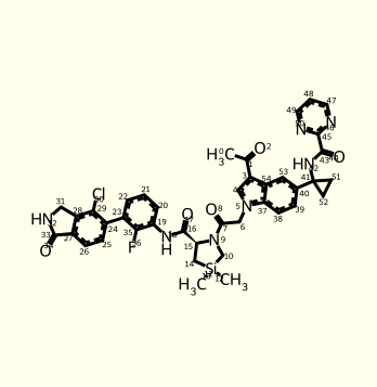 CC(=O)c1cn(CC(=O)N2C[Si](C)(C)C[C@H]2C(=O)Nc2cccc(-c3ccc4c(c3Cl)CNC4=O)c2F)c2ccc(C3(NC(=O)c4ncccn4)CC3)cc12